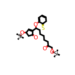 C[Si](C)(C)OCC(=O)CCCCCC(OC1=CC=CCC1=S)C1=CC(O[Si](C)(C)C)CC1=O